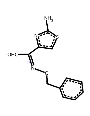 Nc1nc(/C([C]=O)=N\OCc2ccccc2)cs1